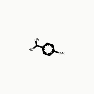 CCCC(O)c1ccc(OC(C)=O)cc1